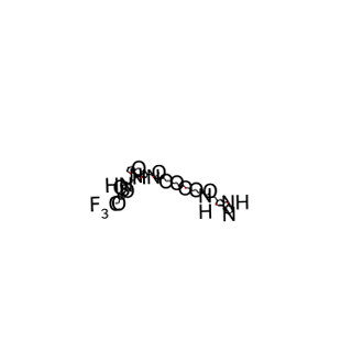 O=C(CCc1ccc2c(c1)[nH]c1ccncc12)NCCOCCOCCOCCOCCC(=O)NCc1ccc2c(c1)Oc1ccccc1N2CCCNS(=O)(=O)c1ccc(OC(F)(F)F)cc1